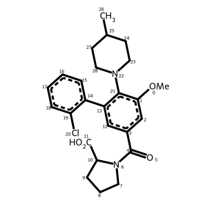 COc1cc(C(=O)N2CCCC2C(=O)O)cc(-c2ccccc2Cl)c1N1CCC(C)CC1